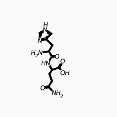 NC(=O)CCC(NC(=O)C(N)Cc1c[nH]cn1)C(=O)O